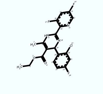 CCOC(=O)C1=C(C)NC(c2ncc(F)cc2F)=NC1c1ccc(F)cc1Cl